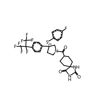 O=C1NC(=O)C2(CCC(C(=O)N3CC[C@@](Sc4ccc(F)cc4)(c4ccc(C(F)(C(F)(F)F)C(F)(F)F)cc4)C3)CC2)N1